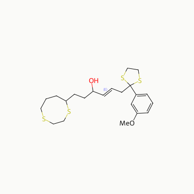 COc1cccc(C2(C/C=C/C(O)CCC3CCCSCCS3)SCCS2)c1